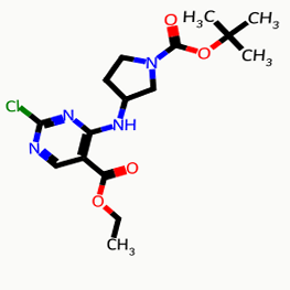 CCOC(=O)c1cnc(Cl)nc1NC1CCN(C(=O)OC(C)(C)C)C1